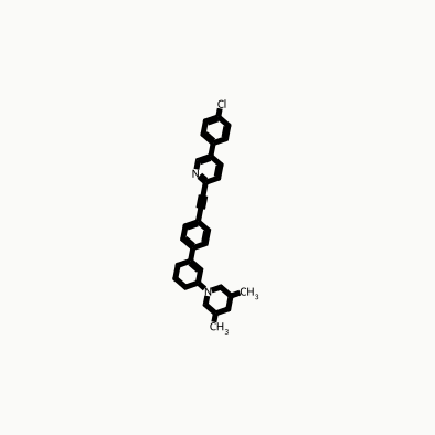 CC1CC(C)CN(C2C=C(c3ccc(C#Cc4ccc(-c5ccc(Cl)cc5)cn4)cc3)CCC2)C1